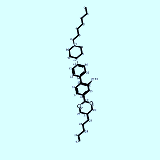 CCCCCCC[C@H]1CC[C@H](c2ccc(-c3ccc(C4OCC(CCCCC)CO4)cc3F)cc2)CC1